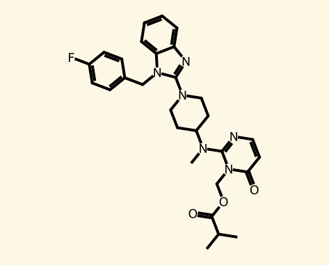 CC(C)C(=O)OCn1c(N(C)C2CCN(c3nc4ccccc4n3Cc3ccc(F)cc3)CC2)nccc1=O